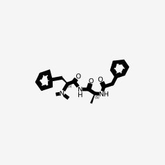 C[C@H](NC(=O)Cc1ccccc1)C(=O)NC(=O)[C@H](Cc1ccccc1)N(C)C